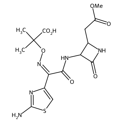 COC(=O)CC1NC(=O)C1NC(=O)C(=NOC(C)(C)C(=O)O)c1csc(N)n1